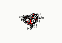 CNC(=O)[C@H]1NC(=O)[C@H]2NC(=O)[C@H](NC(=O)[C@@H]3NC(=O)[C@H](CC(N)=O)NC(=O)C(NC(=O)[C@@H](CC(C)C)NC)[C@H](O)c4ccc(c(Cl)c4)Oc4cc3cc(c4O[C@@H]3O[C@H](CO)[C@@H](O)[C@H](O)[C@H]3O[C@H]3C[C@](C)(N)[C@H](O)[C@H](C)O3)Oc3ccc(cc3Cl)[C@H]2O)c2ccc(O)c(c2)-c2c(O)cc(O)cc21